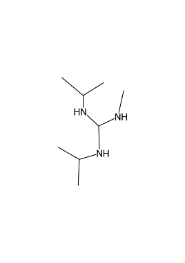 CNC(NC(C)C)NC(C)C